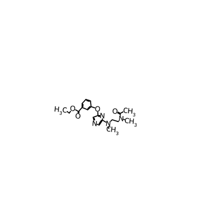 CCOC(=O)c1cccc(Oc2cncc(N(C)CCN(C)C(C)=O)n2)c1